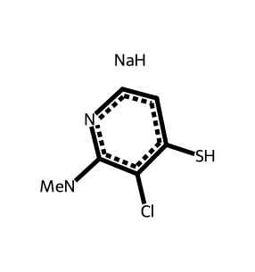 CNc1nccc(S)c1Cl.[NaH]